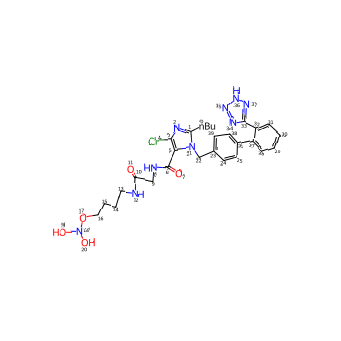 CCCCc1nc(Cl)c(C(=O)NCC(=O)NCCCCON(O)O)n1Cc1ccc(-c2ccccc2-c2nn[nH]n2)cc1